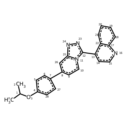 CC(C)Oc1ccc(-c2ccn3c(-c4ccnc5ccccc45)nnc3c2)cc1